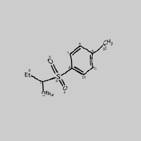 CCCCC(CC)S(=O)(=O)c1ccc(C)cc1